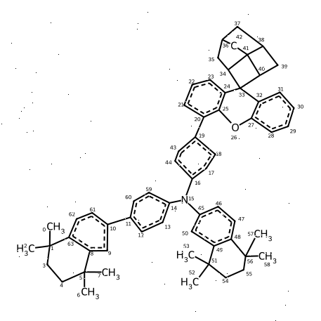 CC1(C)CCC(C)(C)c2cc(-c3ccc(N(c4ccc(-c5cccc6c5Oc5ccccc5C65C6CC7CC8CC5C86C7)cc4)c4ccc5c(c4)C(C)(C)CCC5(C)C)cc3)ccc21